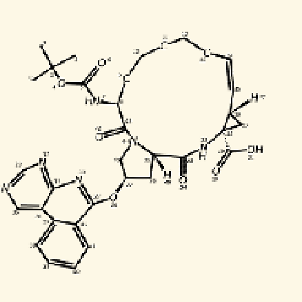 CC(C)(C)OC(=O)N[C@H]1CCCCC/C=C\[C@@H]2C[C@@]2(C(=O)O)NC(=O)[C@@H]2C[C@@H](Oc3nc4ncncc4c4ccccc34)CN2C1=O